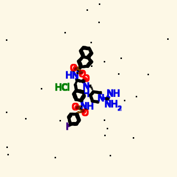 Cl.N=C(N)N1CCC[C@H](CNC(=O)[C@@H](Cc2ccc(NS(=O)(=O)c3ccc(I)cc3)cc2)NS(=O)(=O)c2ccc3ccccc3c2)C1